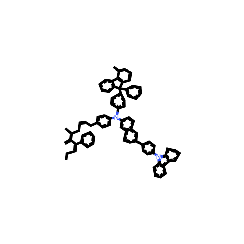 C=C(/C(=C\CC)c1ccccc1)C(C)C/C=C\Cc1ccc(N(c2ccc(C3(c4ccccc4)C4=C(c5ccccc53)C(C)CC=C4)cc2)c2ccc3cc(-c4ccc(-n5c6ccccc6c6ccccc65)cc4)ccc3c2)cc1